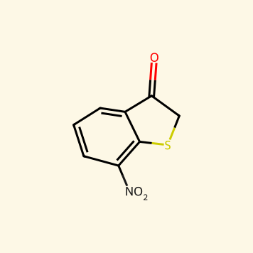 O=C1CSc2c1cccc2[N+](=O)[O-]